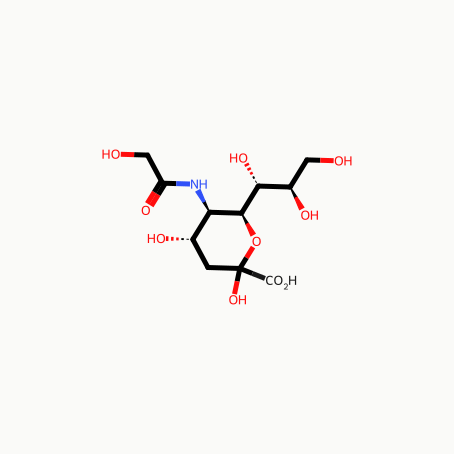 O=C(CO)N[C@H]1[C@@H]([C@H](O)[C@H](O)CO)OC(O)(C(=O)O)C[C@@H]1O